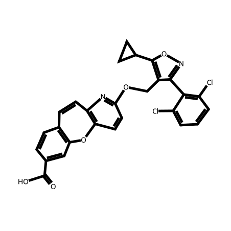 O=C(O)c1ccc2c(c1)Oc1ccc(OCc3c(-c4c(Cl)cccc4Cl)noc3C3CC3)nc1C=C2